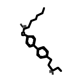 CCCCCC[C@@H](C)Oc1ccc(-c2ccc(CC[C@@H](C)CC)cc2)cc1